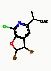 CC(=O)OC(C)c1cc2c(c(Cl)n1)OC(Br)C2Br